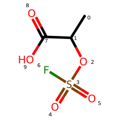 CC(OS(=O)(=O)F)C(=O)O